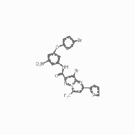 O=C(Nc1cc(Oc2ccc(Br)cc2)cc([N+](=O)[O-])c1)c1nn2c(C(F)(F)F)cc(-c3cccs3)nc2c1Br